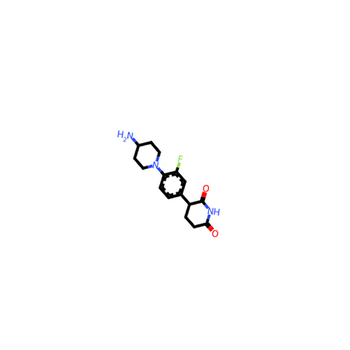 NC1CCN(c2ccc(C3CCC(=O)NC3=O)cc2F)CC1